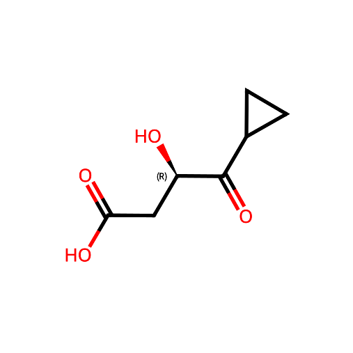 O=C(O)C[C@@H](O)C(=O)C1CC1